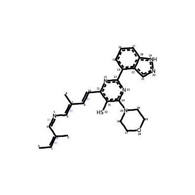 C\C=C(C)/C=N\C=C(C)\C=C\c1nc(-c2cccc3[nH]ncc23)nc(N2CCOCC2)c1S